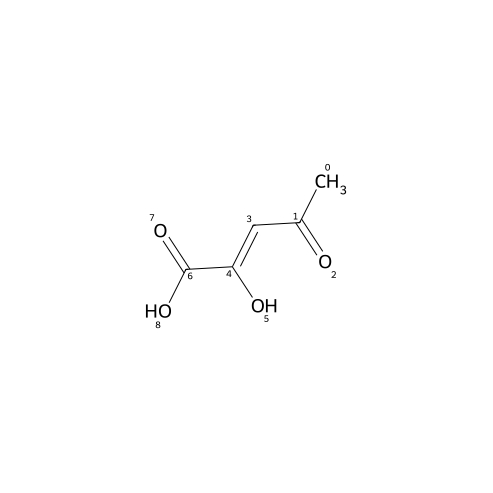 CC(=O)C=C(O)C(=O)O